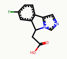 O=C(O)CC1c2cc(F)ccc2-c2cncn21